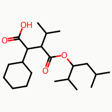 CC(C)CC(OC(=O)C(C(C)C)C(C(=O)O)C1CCCCC1)C(C)C